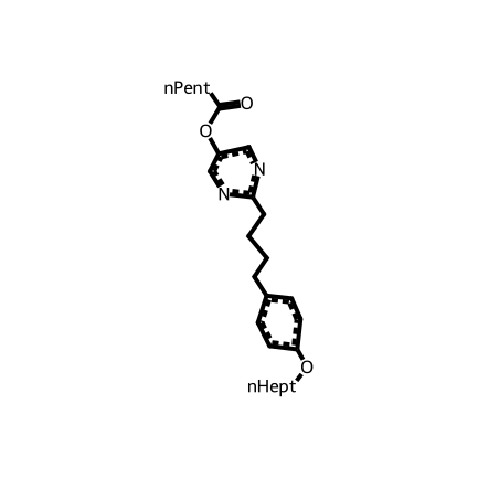 [CH2+][CH-]CCCC(=O)Oc1cnc(CCCCc2ccc(OCCCCCCC)cc2)nc1